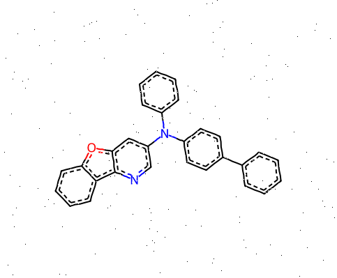 c1ccc(-c2ccc(N(c3ccccc3)c3cnc4c(c3)oc3ccccc34)cc2)cc1